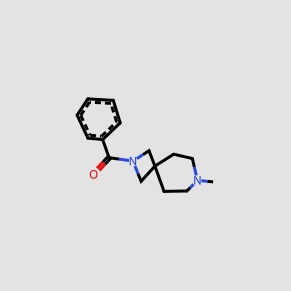 CN1CCC2(CC1)CN(C(=O)c1ccccc1)C2